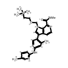 CNC(=O)c1nccc2c(-c3cnc(Nc4ccc(C)cn4)cc3C)cn(COCC[Si](C)(C)C)c12